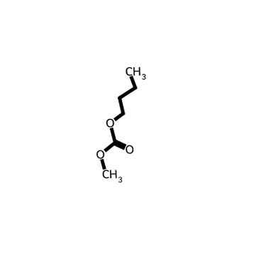 CCCCOC(=O)OC